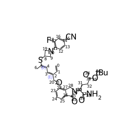 C=C/C(=C\C=C(/C)SC1CN(c2ccc(C#N)cc2F)C1)COc1cccc2c1CN([C@@H](CCC(=O)OC(C)(C)C)C(N)=O)C2=O